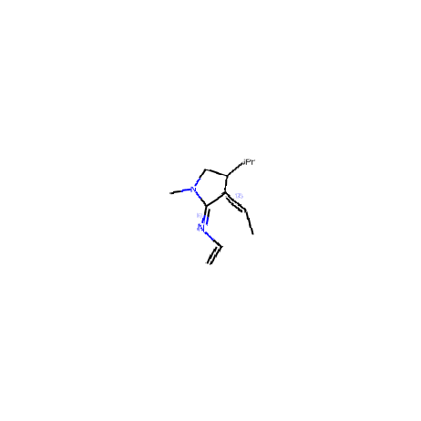 C=C/N=C1\C(=C/C)C(C(C)C)CN1C